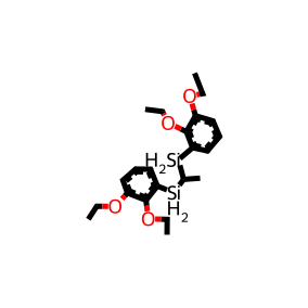 CCOc1cccc([SiH2]C(C)[SiH2]c2cccc(OCC)c2OCC)c1OCC